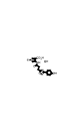 CCn1cc(NC(=O)CCc2nc(-c3ccc(O)cc3)no2)c(C(=O)O)c1.[KH]